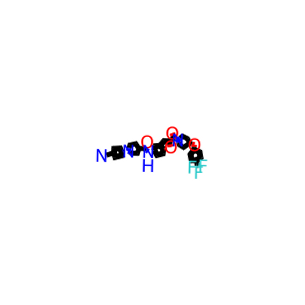 N#Cc1ccc(N2CCC(C(=O)Nc3ccc4oc(C(=O)N5CCC(Oc6ccc(C(F)(F)F)cc6)CC5)cc4c3)CC2)cc1